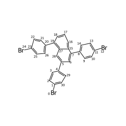 Brc1ccc(-c2cc(-c3ccc(Br)cc3)c3cccc(-c4ccc(Br)cc4)c3c2)cc1